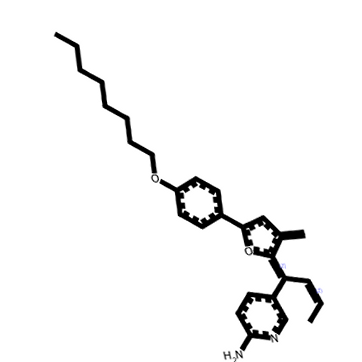 C=c1cc(-c2ccc(OCCCCCCCC)cc2)o/c1=C(/C=C\C)c1ccc(N)nc1